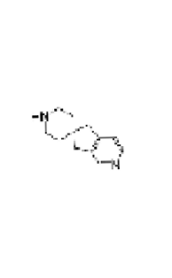 Cc1cc2c(cn1)CC1(CCNCC1)C2